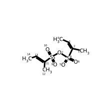 CC=C(C)S(=O)(=O)OS(=O)(=O)C(C)=CC